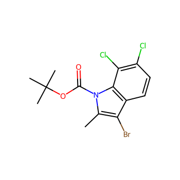 Cc1c(Br)c2ccc(Cl)c(Cl)c2n1C(=O)OC(C)(C)C